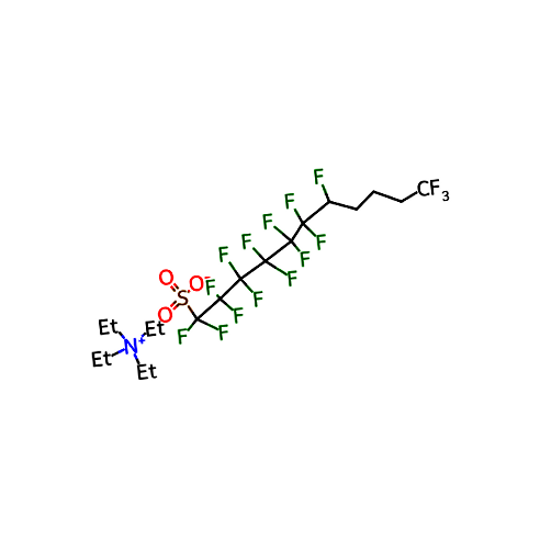 CC[N+](CC)(CC)CC.O=S(=O)([O-])C(F)(F)C(F)(F)C(F)(F)C(F)(F)C(F)(F)C(F)(F)C(F)CCCC(F)(F)F